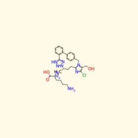 CCCCc1nc(Cl)c(CO)n1Cc1ccc(-c2ccccc2-c2nnn[nH]2)cc1.NCCCCC(N)C(=O)O